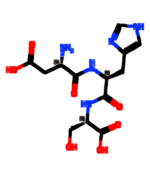 N[C@@H](CC(=O)O)C(=O)N[C@@H](Cc1c[nH]cn1)C(=O)N[C@@H](CO)C(=O)O